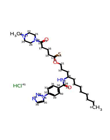 CCCCCCCCC(CCCOC(=S)CCCC(=O)N1CCN(C)CC1)NC(=O)c1ccc(-n2ccnn2)cc1.Cl